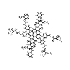 C=C(C)C(=O)OCCc1ccc(Oc2cc3c4c(cc(Oc5ccc(CCOC(=O)C(=C)C)cc5)c5c6c(Oc7ccc(CCOC(=O)C(=C)C)cc7)cc7c8c(cc(Oc9ccc(CCOC(=O)C(=C)C)cc9)c(c2c45)c86)C(=O)N(C(CC(C)C)C(=O)NCc2ccccc2)C7=O)C(=O)N(C(CC(C)C)C(=O)NCc2ccccc2)C3=O)cc1